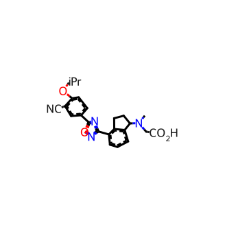 CC(C)Oc1ccc(-c2nc(-c3cccc4c3CCC4N(C)CC(=O)O)no2)cc1C#N